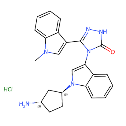 Cl.Cn1cc(-c2n[nH]c(=O)n2-c2cn([C@H]3CC[C@H](N)C3)c3ccccc23)c2ccccc21